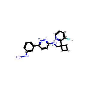 NNc1cccc(-c2ccc(NCC3(c4ncccc4F)CCC3)nn2)c1